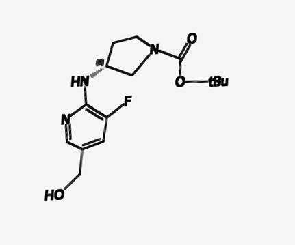 CC(C)(C)OC(=O)N1CC[C@@H](Nc2ncc(CO)cc2F)C1